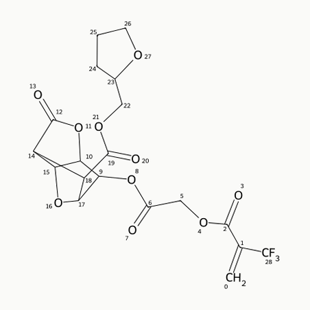 C=C(C(=O)OCC(=O)OC1C2OC(=O)C3C2OC1C3C(=O)OCC1CCCO1)C(F)(F)F